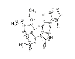 CCOc1nc(C(CS(C)(=O)=O)n2c(=O)[nH]c3cc(-c4c(F)cccc4F)cnc32)ccc1OC